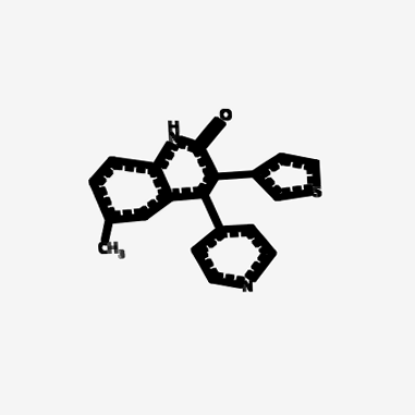 Cc1ccc2[nH]c(=O)c(-c3ccsc3)c(-c3ccncc3)c2c1